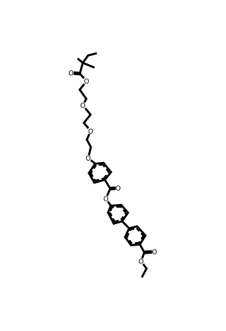 CCOC(=O)c1ccc(-c2ccc(OC(=O)c3ccc(OCCOCCOCCOC(=O)C(C)(C)CC)cc3)cc2)cc1